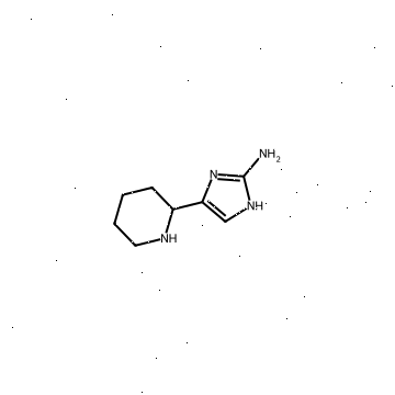 Nc1nc(C2CCCCN2)c[nH]1